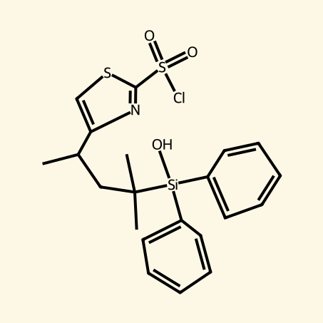 CC(CC(C)(C)[Si](O)(c1ccccc1)c1ccccc1)c1csc(S(=O)(=O)Cl)n1